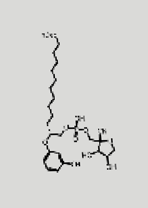 CCCCCCCCCCCCCCCCCCCC[C@H](COP(=O)(O)OCC1(C#N)OCC(O)C1O)Oc1cccc(C#N)c1